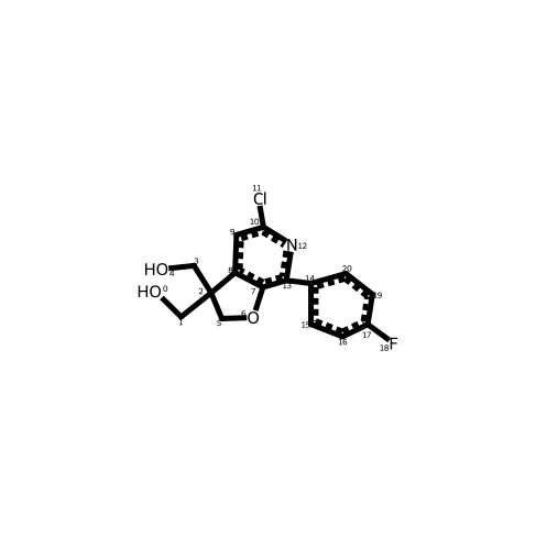 OCC1(CO)COc2c1cc(Cl)nc2-c1ccc(F)cc1